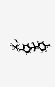 COC1(Oc2ccc(C(C)(C)c3ccc(C)cc3)cc2)OO1